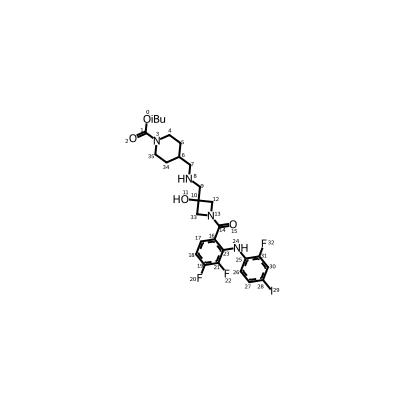 CC(C)COC(=O)N1CCC(CNCC2(O)CN(C(=O)c3ccc(F)c(F)c3Nc3ccc(I)cc3F)C2)CC1